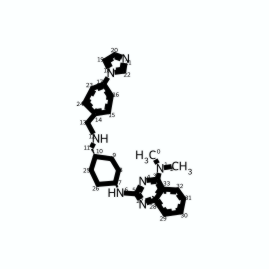 CN(C)c1nc(N[C@H]2CC[C@@H](CNCc3ccc(-n4ccnc4)cc3)CC2)nc2ccccc12